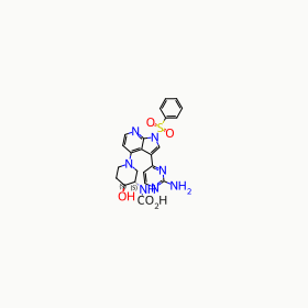 Nc1nccc(-c2cn(S(=O)(=O)c3ccccc3)c3nccc(N4CC[C@H](O)[C@@H](NC(=O)O)C4)c23)n1